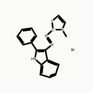 Cn1ccs[c+]1N=Nc1c(-c2ccccc2)[nH]c2ccccc12.[Br-]